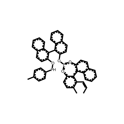 C/C=C\c1c(C)ccc2op(Oc3ccc4ccccc4c3-c3c(OPc4ccc(C)cc4)ccc4ccccc34)oc3ccc4ccccc4c3c12